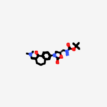 CN(C)C=C1CCCc2cc(N3C[C@H](CNC(=O)OC(C)(C)C)OC3=O)ccc2C1=O